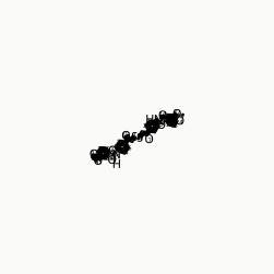 O=C(CSSCC(=O)c1ccc(NS(=O)(=O)c2ccc3c(c2)OCO3)cc1)c1ccc(NS(=O)(=O)c2ccc3c(c2)OCO3)cc1